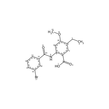 CCc1cc(C(=O)O)c(NC(=O)c2cccc(Br)c2)cc1OC